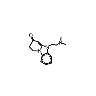 CN(C)CCN1C2=CC(=O)CCN2c2ccccc21